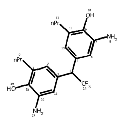 CCCc1cc(C(c2cc(N)c(O)c(CCC)c2)C(F)(F)F)cc(N)c1O